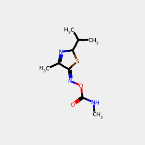 CNC(=O)ON=C1SC(C(C)C)N=C1C